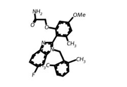 COc1cc(C)c(-c2nc3ccc(F)cc3n2Cc2c(C)cccc2C)c(OCC(N)=O)c1